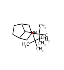 CC(C)(C)NC1C2CCC1CC(C(C)(C)C)C2